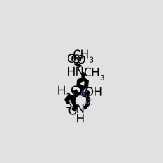 C=C1/C(c2ccc(C(C)NCCS(C)(=O)=O)cc2)=C(O)\C=C/CNC(=O)c2sccc21